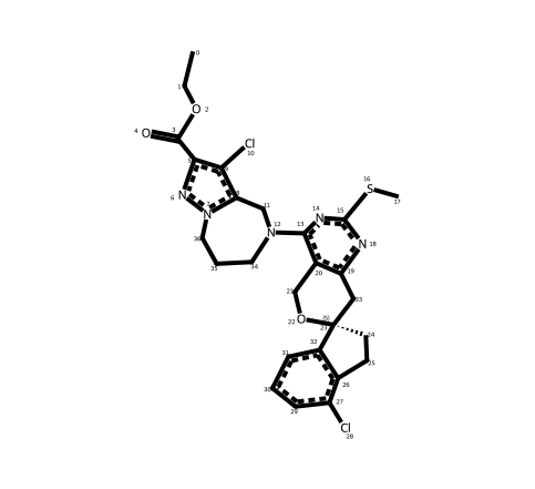 CCOC(=O)c1nn2c(c1Cl)CN(c1nc(SC)nc3c1CO[C@@]1(CCc4c(Cl)cccc41)C3)CCC2